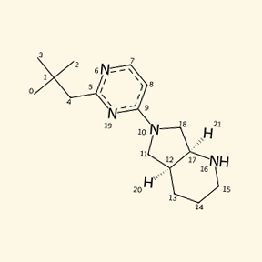 CC(C)(C)Cc1nccc(N2C[C@@H]3CCCN[C@@H]3C2)n1